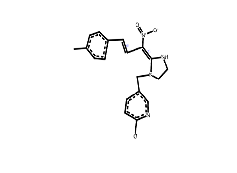 Cc1ccc(/C=C/C(=C2/NCCN2Cc2ccc(Cl)nc2)[N+](=O)[O-])cc1